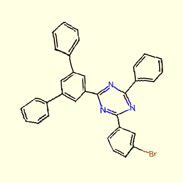 Brc1cccc(-c2nc(-c3ccccc3)nc(-c3cc(-c4ccccc4)cc(-c4ccccc4)c3)n2)c1